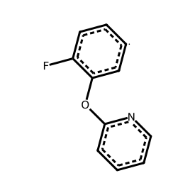 Fc1cc[c]cc1Oc1ccccn1